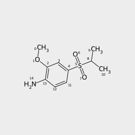 COc1cc(S(=O)(=O)C(C)C)ccc1N